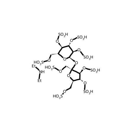 CCNCC.O=S(=O)(O)OC[C@H]1O[C@@](COS(=O)(=O)O)(O[C@H]2O[C@H](COS(=O)(=O)O)[C@@H](OS(=O)(=O)O)[C@H](OS(=O)(=O)O)[C@H]2OS(=O)(=O)O)[C@@H](OS(=O)(=O)O)[C@@H]1OS(=O)(=O)O